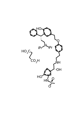 CC(C)N(CC[C@H](c1ccccc1)c1cc(CCOc2ccc(CCNC[C@H](O)c3ccc(O)c(NS(C)(=O)=O)c3)cc2)ccc1O)C(C)C.O=C(O)CCC(=O)O